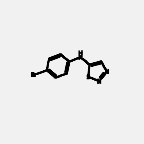 Brc1ccc(Nc2cnns2)cc1